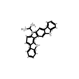 CC(C)n1c2cc3c(cc2c2c4oc5ccccc5c4ccc21)oc1ccccc13